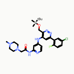 CN1CCN(CC(=O)Nc2cc(Nc3cc(-c4cc(Cl)ccc4F)nnc3CO[Si](C)(C)C(C)(C)C)ccn2)CC1